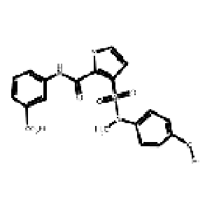 CCOC(=O)c1cccc(NC(=O)c2sccc2S(=O)(=O)N(C)c2ccc(OCC)cc2)c1